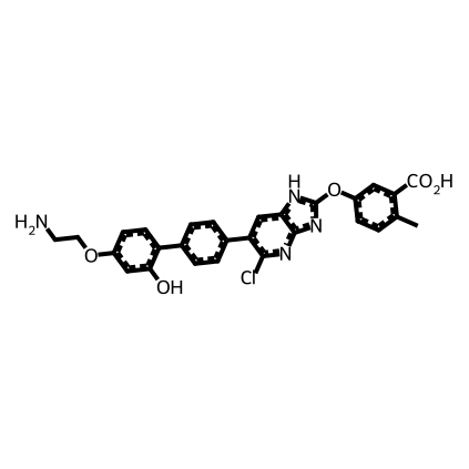 Cc1ccc(Oc2nc3nc(Cl)c(-c4ccc(-c5ccc(OCCN)cc5O)cc4)cc3[nH]2)cc1C(=O)O